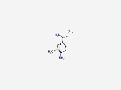 CCC(N)c1ccc(N)c(C)c1